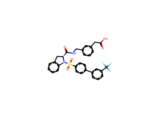 O=C(O)Cc1cccc(CNC(=O)[C@@H]2Cc3ccccc3N2S(=O)(=O)c2ccc(-c3cccc(C(F)(F)F)c3)cc2)c1